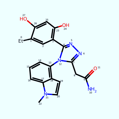 CCc1cc(-c2nnc(CC(N)=O)n2-c2cccc3c2ccn3C)c(O)cc1O